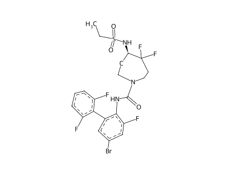 CCS(=O)(=O)N[C@@H]1CCN(C(=O)Nc2c(F)cc(Br)cc2-c2c(F)cccc2F)CCC1(F)F